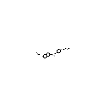 CCCCCCc1ccc(-c2nnc(-c3ccc4cc(OCCCC)ccc4c3)s2)cc1